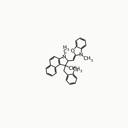 Cc1ccccc1CC1(C)c2c(ccc3ccccc23)N(C)C1/C=C1\Oc2ccccc2N1C